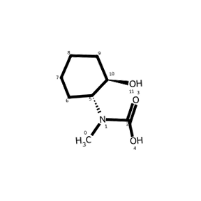 CN(C(=O)O)[C@@H]1CCCC[C@H]1O